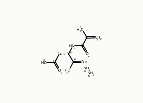 C=C(C)C(=O)N[C@@H](CC(=O)O)C(=O)O.N.N